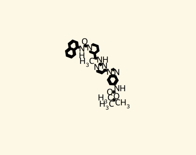 CC(Nc1nccc(-n2cnc3cc(NC(=O)OC(C)(C)C)ccc32)n1)C1CCCN(C(=O)Nc2cccc3ccccc23)C1